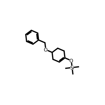 C[Si](C)(C)OC1=CCC(OCc2ccccc2)CC1